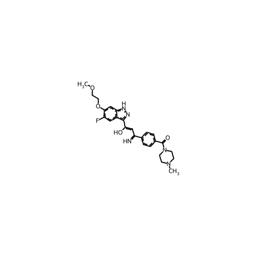 COCCOc1cc2[nH]nc(/C(O)=C/C(=N)c3ccc(C(=O)N4CCN(C)CC4)cc3)c2cc1F